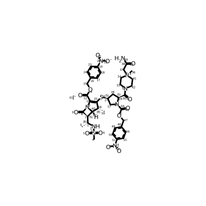 C[C@@H](NS(C)(=O)=O)[C@H]1C(=O)N2C(C(=O)OCc3ccc([N+](=O)[O-])cc3)=C(S[C@H]3C[C@@H](C(=O)N4CC[N+](C)(CC(N)=O)CC4)N(C(=O)OCc4ccc([N+](=O)[O-])cc4)C3)[C@H](C)[C@H]12.[I-]